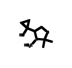 CC1(C)OCC(C2(O)CC2)N1C(=O)O